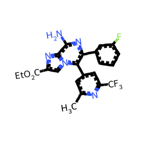 CCOC(=O)c1cn2c(-c3cc(C)nc(C(F)(F)F)c3)c(-c3cccc(F)c3)nc(N)c2n1